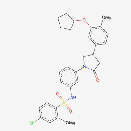 COc1ccc(C2CC(=O)N(c3cccc(NS(=O)(=O)c4ccc(Cl)cc4OC)c3)C2)cc1OC1CCCC1